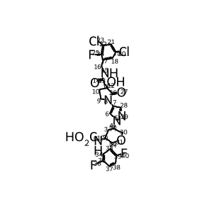 O=C(O)N[C@H]1C[C@@H](n2cc(N3CCC(O)(C(=O)NCc4cc(Cl)cc(Cl)c4F)C3=O)cn2)CO[C@@H]1c1cc(F)ccc1F